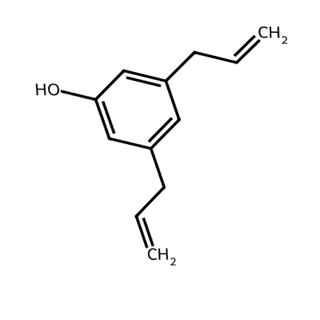 C=CCc1cc(O)cc(CC=C)c1